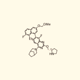 CCc1c(F)ccc2cc(OCOC)cc(-c3ncc4c(N5CC6CCC(C6)C5)nc(OC[C@@H]5CCCN5)nc4c3F)c12